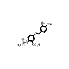 C[SiH](C)Oc1ccc(OCc2ccc(C(C)(C)C)c(C(C)(C)C)c2)cc1C(=O)O